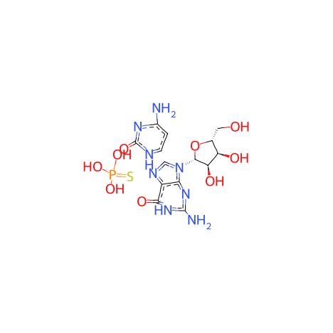 Nc1cc[nH]c(=O)n1.Nc1nc2c(ncn2[C@@H]2O[C@H](CO)[C@@H](O)[C@H]2O)c(=O)[nH]1.OP(O)(O)=S